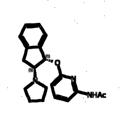 CC(=O)Nc1cccc(O[C@H]2c3ccccc3C[C@@H]2N2CCCC2)n1